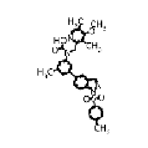 COc1c(C)cnc(CN(C(=O)O)c2cc(C)cc(-c3ccc4c(cnn4S(=O)(=O)c4ccc(C)cc4)c3)c2)c1C